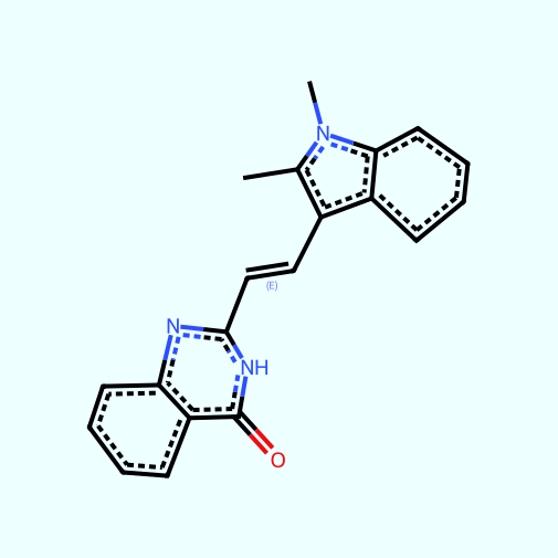 Cc1c(/C=C/c2nc3ccccc3c(=O)[nH]2)c2ccccc2n1C